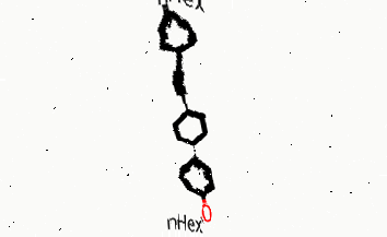 CCCCCCOc1ccc([C@H]2CC[C@H](C#Cc3ccc(CCCCCC)cc3)CC2)cc1